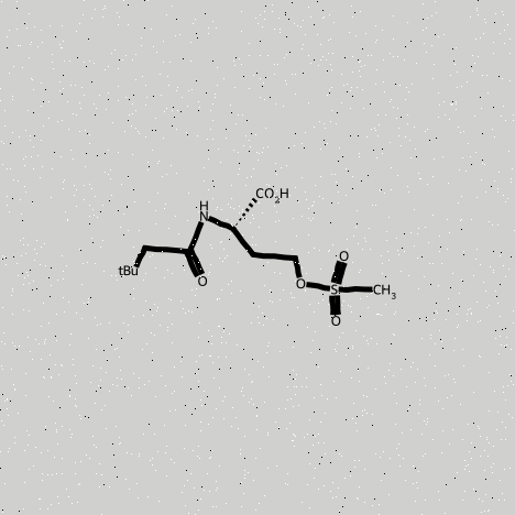 CC(C)(C)CC(=O)N[C@@H](CCOS(C)(=O)=O)C(=O)O